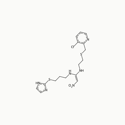 O=[N+]([O-])C=C(NCCCSc1ncc[nH]1)NCCSCc1ncccc1Cl